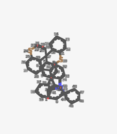 c1ccc(-c2ccc3c(c2)Sc2ccccc2C32c3ccccc3Sc3cccc(-c4cccc5c4c4ccccc4n5-c4ccccc4)c32)cc1